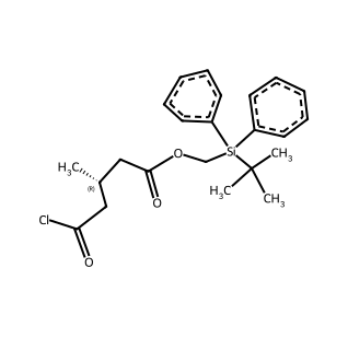 C[C@@H](CC(=O)Cl)CC(=O)OC[Si](c1ccccc1)(c1ccccc1)C(C)(C)C